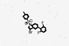 Cc1ccc(S(=O)(=O)n2cc(Br)c3cc(-c4c(F)cccc4F)ccc32)cc1